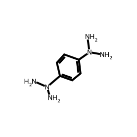 NN(N)c1ccc(N(N)N)cc1